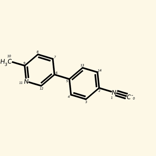 [C-]#[N+]c1ccc(-c2ccc(C)nc2)cc1